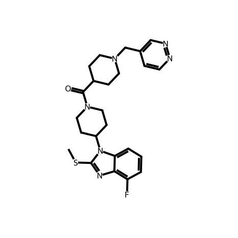 CSc1nc2c(F)cccc2n1C1CCN(C(=O)C2CCN(Cc3ccnnc3)CC2)CC1